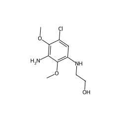 COc1c(Cl)cc(NCCO)c(OC)c1N